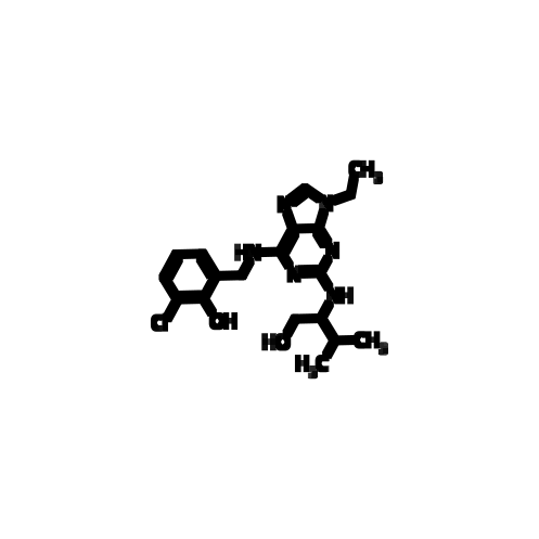 CCn1cnc2c(NCc3cccc(Cl)c3O)nc(NC(CO)C(C)C)nc21